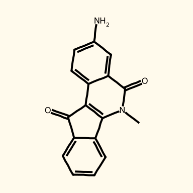 Cn1c2c(c3ccc(N)cc3c1=O)C(=O)c1ccccc1-2